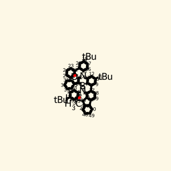 CC(C)(C)c1ccc(N2B3c4c(cc(C(C)(C)C)cc4N(c4ccc(C(C)(C)C)cc4-c4ccccc4)c4oc5ccccc5c43)-c3ccc4c(c32)C(C)(C)c2ccccc2-4)cc1